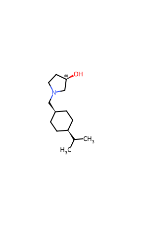 CC(C)[C@H]1CC[C@@H](CN2CC[C@@H](O)C2)CC1